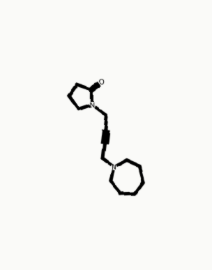 O=C1CCCN1CC#CCN1CCCCCC1